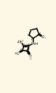 CCc1c(NC2CCCC2=O)c(=O)c1=O